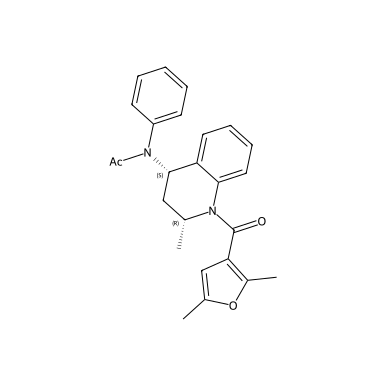 CC(=O)N(c1ccccc1)[C@H]1C[C@@H](C)N(C(=O)c2cc(C)oc2C)c2ccccc21